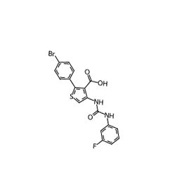 O=C(Nc1cccc(F)c1)Nc1csc(-c2ccc(Br)cc2)c1C(=O)O